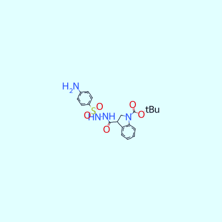 CC(C)(C)OC(=O)N1CC(C(=O)NNS(=O)(=O)c2ccc(N)cc2)c2ccccc21